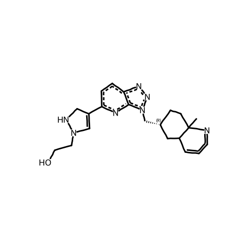 CC12CC[C@@H](Cn3nnc4ccc(C5=CN(CCO)NC5)nc43)CC1C=C=C=N2